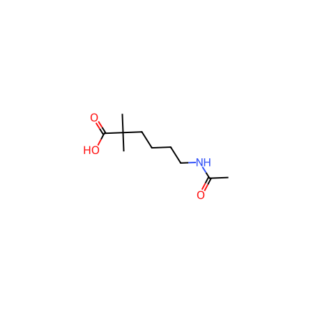 CC(=O)NCCCCC(C)(C)C(=O)O